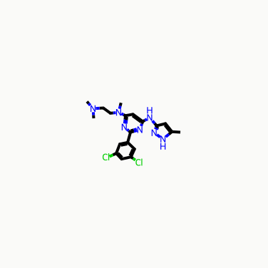 Cc1cc(Nc2cc(N(C)CCN(C)C)nc(-c3cc(Cl)cc(Cl)c3)n2)n[nH]1